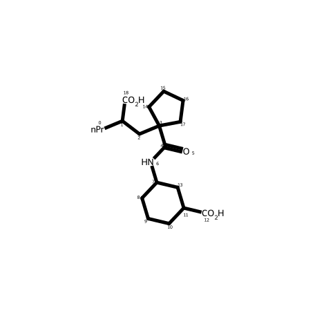 CCCC(CC1(C(=O)NC2CCCC(C(=O)O)C2)CCCC1)C(=O)O